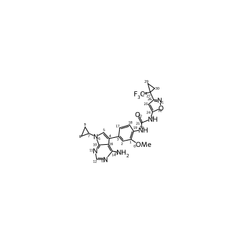 COc1cc(-c2cn(C3CC3)c3ncnc(N)c23)ccc1NC(=O)Nc1cc(C2(C(F)(F)F)CC2)no1